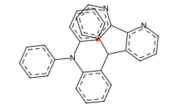 c1ccc(N(c2ccccc2)c2ccccc2C2c3cccnc3-c3ncccc32)cc1